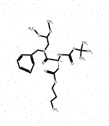 CCCCOC(=O)C[C@@H](NC(=O)OC(C)(C)C)C(=O)N(Cc1ccccc1)CC(OC)OC